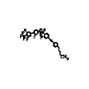 CCCCCc1ccc(C#Cc2ccc(C(F)(F)Oc3ccc(-c4cc(F)c(C(F)(F)F)c(F)c4)c(F)c3)c(F)c2)cc1